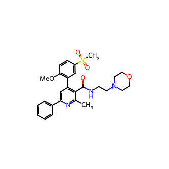 COc1ccc(S(C)(=O)=O)cc1-c1cc(-c2ccccc2)nc(C)c1C(=O)NCCN1CCOCC1